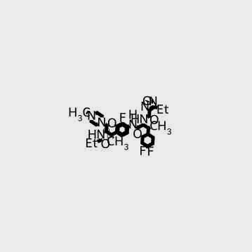 CCC(=O)N[C@@H](C(=O)N1CCN(C)CC1)[C@@H](C)c1ccc(NC(=O)C(NC(=O)c2nonc2CC)C(C)C2CCC(F)(F)CC2)c(F)c1